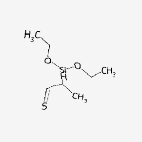 CCO[SiH](OCC)C(C)C=S